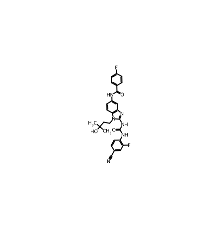 CC(C)(O)CCn1c(NC(=O)Nc2ccc(C#N)cc2F)nc2cc(NC(=O)c3ccc(F)cc3)ccc21